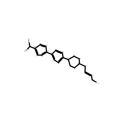 FC/C=C/CC1CCC(c2ccc(-c3ccc(C(F)F)cc3)cc2)CC1